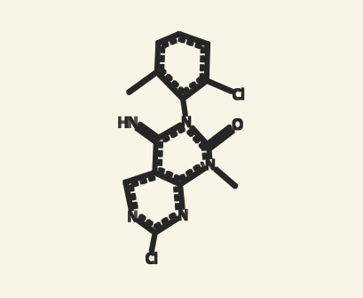 Cc1cccc(Cl)c1-n1c(=N)c2cnc(Cl)nc2n(C)c1=O